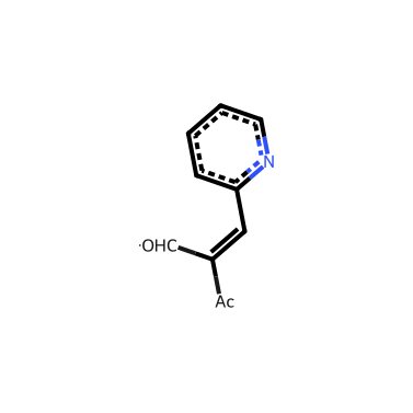 CC(=O)C([C]=O)=Cc1ccccn1